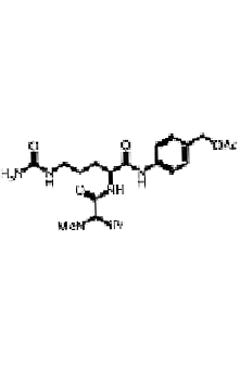 CNC(C(=O)NC(CCCNC(N)=O)C(=O)Nc1ccc(COC(C)=O)cc1)C(C)C